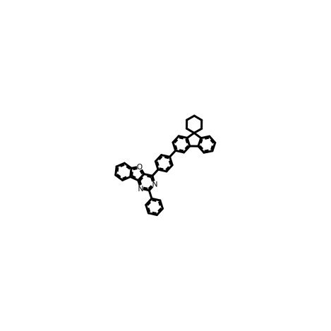 c1ccc(-c2nc(-c3ccc(-c4ccc5c(c4)-c4ccccc4C54CCCCC4)cc3)c3oc4ccccc4c3n2)cc1